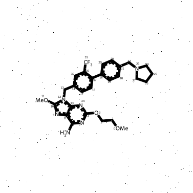 COCCOc1nc(N)c2nc(OC)n(Cc3ccc(-c4ccc(CN5CCCC5)cc4)c(C(F)(F)F)c3)c2n1